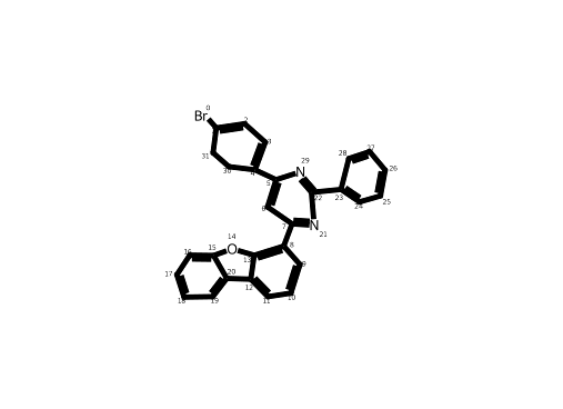 BrC1=CC=C(c2cc(-c3cccc4c3oc3ccccc34)nc(-c3ccccc3)n2)CC1